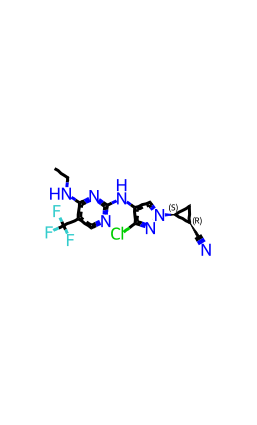 CCNc1nc(Nc2cn([C@H]3C[C@H]3C#N)nc2Cl)ncc1C(F)(F)F